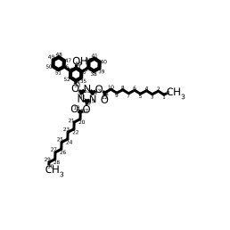 CCCCCCCCCCCC(=O)Oc1nc(OC(=O)CCCCCCCCCCC)nc(Oc2cc(-c3ccccc3)c(O)c(-c3ccccc3)c2)n1